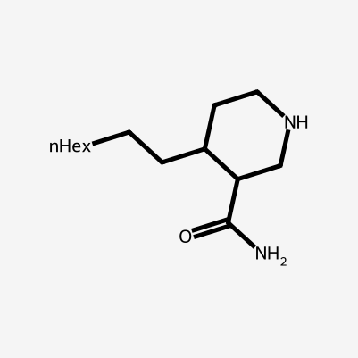 CCCCCCCCC1CCNCC1C(N)=O